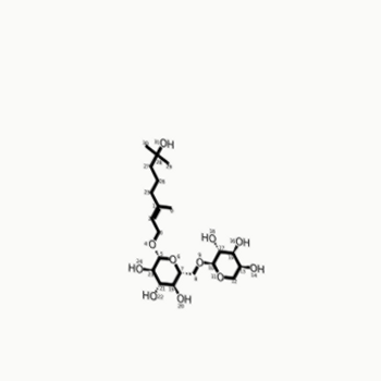 C/C(=C\CO[C@@H]1O[C@H](CO[C@@H]2OC[C@H](O)[C@H](O)[C@H]2O)[C@@H](O)[C@H](O)[C@H]1O)CCCC(C)(C)O